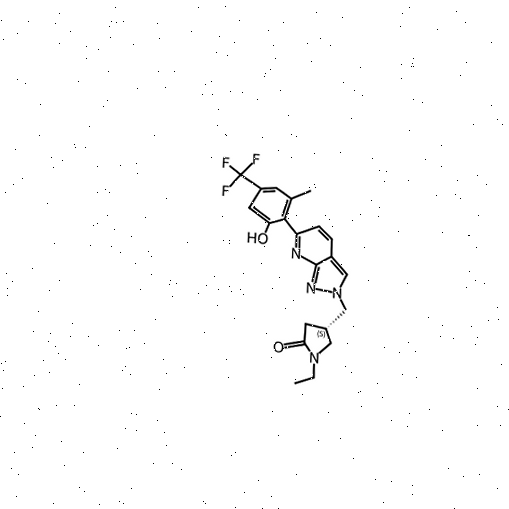 CCN1C[C@@H](Cn2cc3ccc(-c4c(C)cc(C(F)(F)F)cc4O)nc3n2)CC1=O